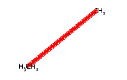 COCCOCCOCCOCCOCCOCCOCCOCCOCCOCCOCCOCCOCCOCCOCCOCCOCCOCCOCCOCCOCCOCCOCCOCCOCCOCCOCCOCCOCCOCCOCCOCCOCCOCCOCCOCCOCCOCCOCCOCCOCCOCCOCCOCCOCCOCCC(C)(C)C